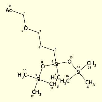 CC(=O)COCCC[Si](C)(O[Si](C)(C)C)O[Si](C)(C)C